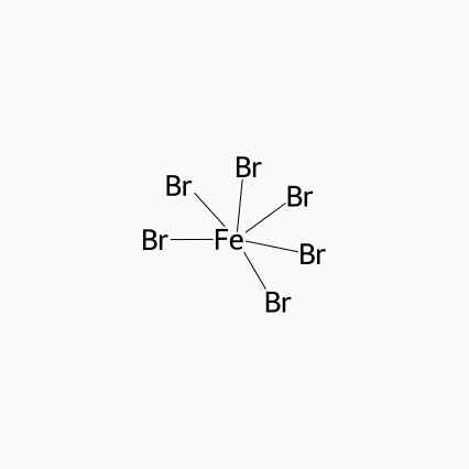 [Br][Fe]([Br])([Br])([Br])([Br])[Br]